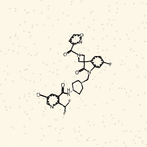 O=C(N[C@H]1CC[C@H](CN2C(=O)C3(CN(C(=O)c4ccon4)C3)c3ccc(F)cc32)CC1)c1cc(Cl)cnc1C(F)F